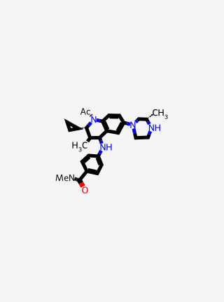 CNC(=O)c1ccc(NC2c3cc(N4CCN[C@@H](C)C4)ccc3N(C(C)=O)[C@@H](C3CC3)C2C)cc1